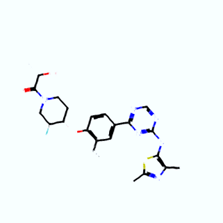 Cc1nc(C)c(Nc2ncnc(-c3ccc(O[C@H]4CCN(C(=O)[C@H](C)O)C[C@@H]4F)c(C#N)c3)n2)s1